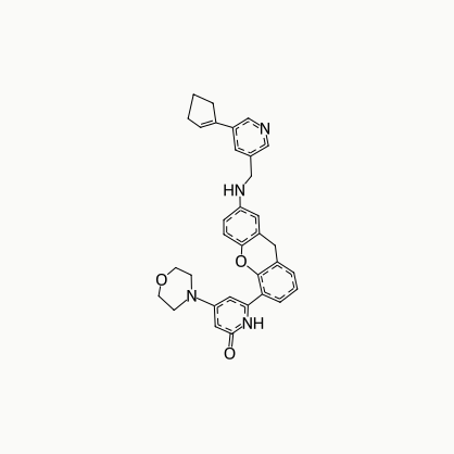 O=c1cc(N2CCOCC2)cc(-c2cccc3c2Oc2ccc(NCc4cncc(C5=CCCC5)c4)cc2C3)[nH]1